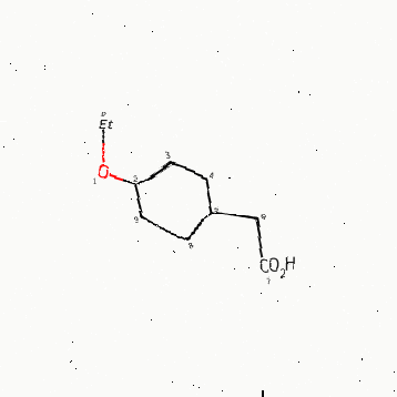 CCOC1CCC(CC(=O)O)CC1